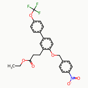 CCOC(=O)CCc1cc(-c2ccc(OC(F)(F)F)cc2)ccc1OCc1ccc([N+](=O)[O-])cc1